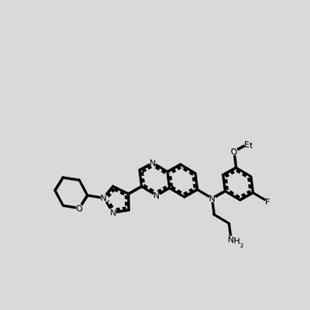 CCOc1cc(F)cc(N(CCN)c2ccc3ncc(-c4cnn(C5CCCCO5)c4)nc3c2)c1